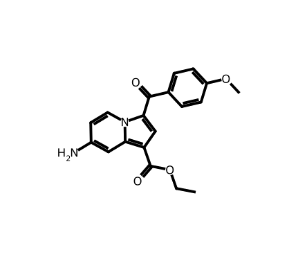 CCOC(=O)c1cc(C(=O)c2ccc(OC)cc2)n2ccc(N)cc12